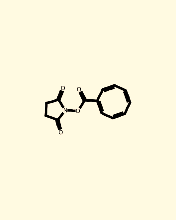 O=C(ON1C(=O)CCC1=O)C1=C/C=C\C=C/C=C\1